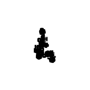 C[C@@H]1CCC[C@H](C)N1c1nnc2ccc(O[C@@H]3C=C[C@](C=O)(NC(=O)Nc4cc(C(C)(C)C)nc(C(=O)NCCN5CCOCC5)n4)c4ccccc43)cn12